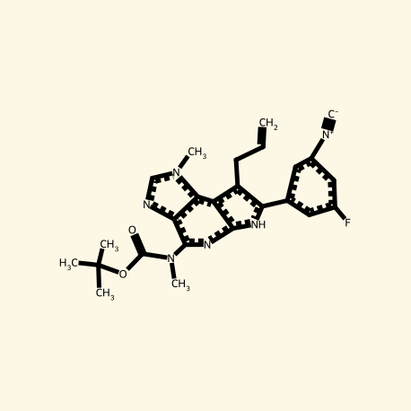 [C-]#[N+]c1cc(F)cc(-c2[nH]c3nc(N(C)C(=O)OC(C)(C)C)c4ncn(C)c4c3c2CC=C)c1